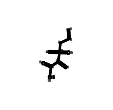 C=CCS(=O)(=O)C(=C)C(=O)O